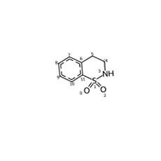 O=S1(=O)N[CH]Cc2ccccc21